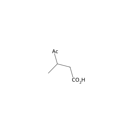 CC(=O)C(C)CC(=O)O